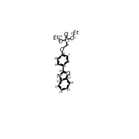 CCOP(=O)(COc1ccc(-c2nc3ccccc3o2)cc1)OCC